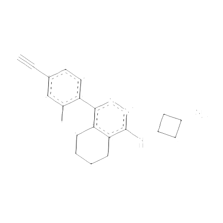 C#Cc1ccc(-c2nnc(N[C@H]3C[C@@H](N)C3)c3c2CCCC3)c(O)c1